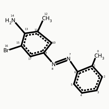 Cc1ccccc1N=Nc1cc(C)c(N)c(Br)c1